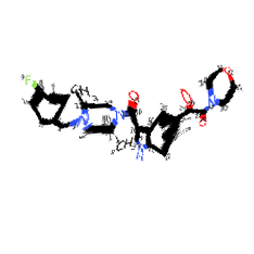 C[C@@H]1CN(Cc2ccc(F)cc2)[C@@H](C)CN1C(=O)c1c[nH]c2ccc(C(=O)C(=O)N3CCOCC3)cc12